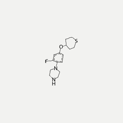 Fc1cc(OC2CCSCC2)ccc1N1CCNCC1